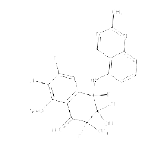 C=C1c2c(cc(F)c(Cl)c2OC)C(F)(Nc2cccc3nc(C)ncc23)C(C)(O)C1(C)F